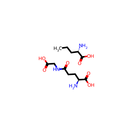 CCC[C@H](N)C(=O)O.N[C@@H](CCC(=O)NCC(=O)O)C(=O)O